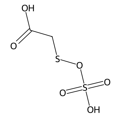 O=C(O)CSOS(=O)(=O)O